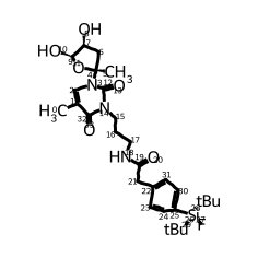 Cc1cn([C@@]2(C)C[C@H](O)[C@H](O)O2)c(=O)n(CCCNC(=O)Cc2ccc([Si](F)(C(C)(C)C)C(C)(C)C)cc2)c1=O